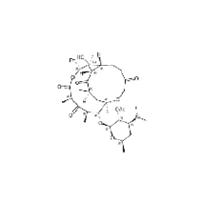 CC[C@H]1OC(=O)[C@H](C)C(=O)[C@H](C)[C@@H](O[C@@H]2O[C@H](C)C[C@H](N(C)C)[C@H]2OC(C)=O)[C@@]2(C)C[C@@H](C)C(=O)[C@H](C)[C@@H](CCC(=O)CO2)[C@]1(C)O